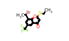 CCSc1cc(=O)c2cc(C(F)(F)F)cc(C(C)Br)c2o1